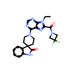 CCn1c(C(=O)N2CC(F)(F)C2)nc2c(N3CCC4(CC3)C(=O)Nc3ccccc34)ncnc21